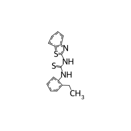 CCc1ccccc1NC(=S)Nc1nc2ccccc2s1